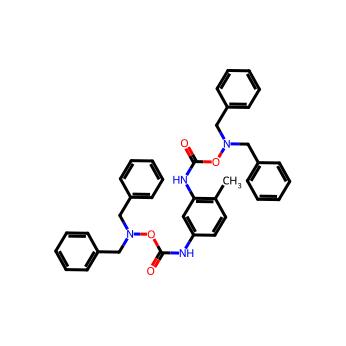 Cc1ccc(NC(=O)ON(Cc2ccccc2)Cc2ccccc2)cc1NC(=O)ON(Cc1ccccc1)Cc1ccccc1